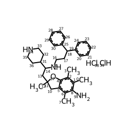 Cc1c(C)c2c(c(C)c1N)CC(C)(CC(NCCC(c1ccccc1)c1ccccc1)C1CCNCC1)O2.Cl.Cl